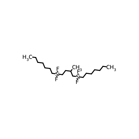 CCCCCCC[Si](F)(F)CCC(C)C[Si](F)(F)CCCCCCC